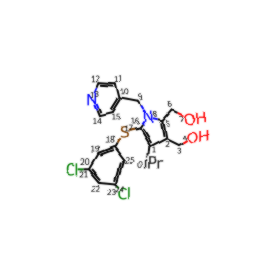 CC(C)c1c(CO)c(CO)n(Cc2ccncc2)c1Sc1cc(Cl)cc(Cl)c1